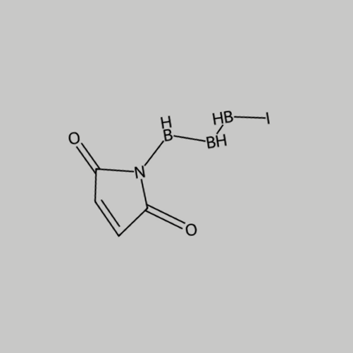 O=C1C=CC(=O)N1BBBI